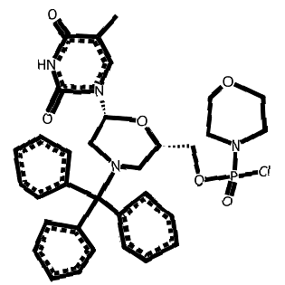 Cc1cn([C@H]2CN(C(c3ccccc3)(c3ccccc3)c3ccccc3)C[C@@H](COP(=O)(Cl)N3CCOCC3)O2)c(=O)[nH]c1=O